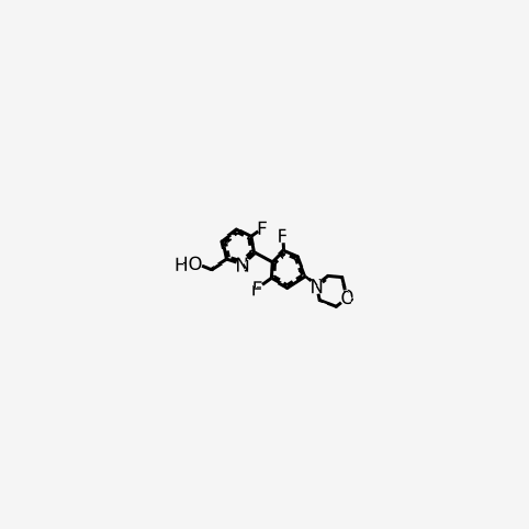 OCc1ccc(F)c(-c2c(F)cc(N3CCOCC3)cc2F)n1